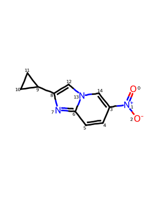 O=[N+]([O-])c1ccc2nc(C3CC3)cn2c1